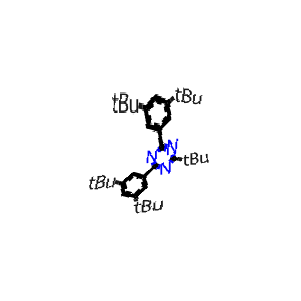 CC(C)(C)c1cc(-c2nc(-c3cc(C(C)(C)C)cc(C(C)(C)C)c3)nc(C(C)(C)C)n2)cc(C(C)(C)C)c1